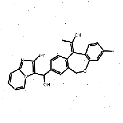 CC(C#N)=C1c2ccc(C(O)c3c(C(C)C)nc4ccccn34)cc2COc2cc(F)ccc21